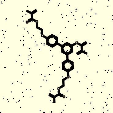 C=C(C)C(=C)Oc1cc(-c2ccc(OCCOC(=O)C(=C)C)cc2)cc(-c2ccc(OCCOC(=O)C(=C)C)cc2)c1